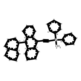 C[Si](C#Cc1c2ccccc2c(-c2cccc3ccccc23)c2ccccc12)(c1ccccc1)c1ccccc1